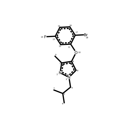 Cc1nn(CC(C)C)cc1Oc1cc(F)ccc1Br